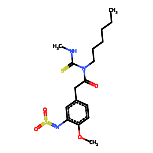 CCCCCCN(C(=O)Cc1ccc(OC)c(N=S(=O)=O)c1)C(=S)NC